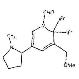 COCC1=CC(C2CCCN2C)=CN(C=O)C1(C(C)C)C(C)C